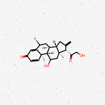 C=C1C[C@H]2[C@@H]3CC(F)C4=CC(=O)C=C[C@]4(C)[C@@]3(F)C(O)C[C@]2(C)[C@H]1C(=O)CO